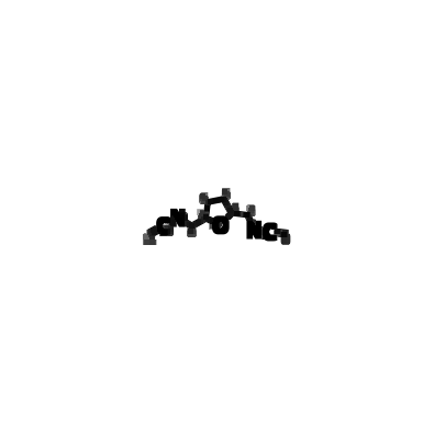 C=C=NCC1CCC(CN=C=C)O1